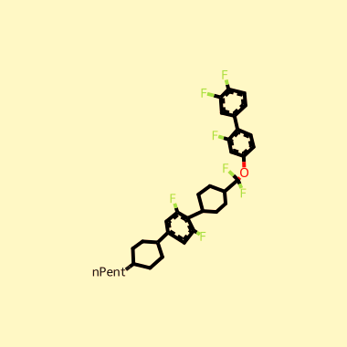 CCCCCC1CCC(c2cc(F)c(C3CCC(C(F)(F)Oc4ccc(-c5ccc(F)c(F)c5)c(F)c4)CC3)c(F)c2)CC1